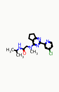 CC(C)NC(=O)CN(C)c1nc(-c2cc(Cl)ccn2)nc2c1CCC2